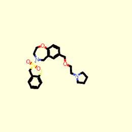 O=S(=O)(Cc1ccccc1F)N1CCOc2ccc(COCCN3CCCC3)cc2C1